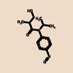 CC(CO)C(=O)N(c1ccc(N=O)cc1)C(C)C